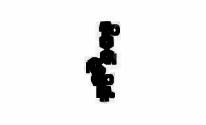 Cc1cc(N2CCn3c(cc4c(-c5cncc(-c6ccc(N7CCCC7=O)cc6)c5)ccnc43)C2=O)nn1C